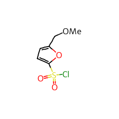 COCc1ccc(S(=O)(=O)Cl)o1